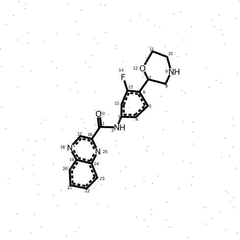 O=C(Nc1ccc(C2CNCCO2)c(F)c1)c1cnc2ccccc2n1